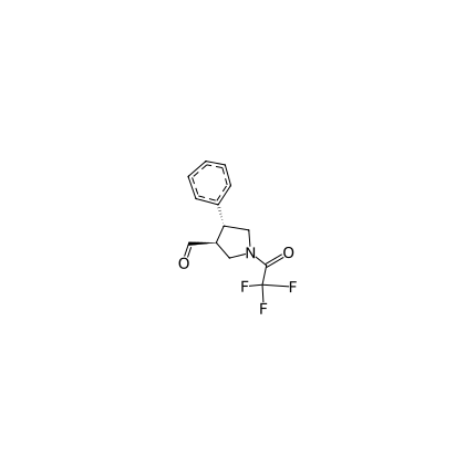 O=C[C@@H]1CN(C(=O)C(F)(F)F)C[C@H]1c1ccccc1